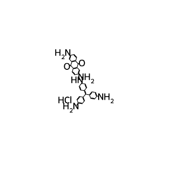 Cl.N=C1C=CC(=C(c2ccc(N)cc2)c2ccc(N)cc2)C=C1.Nc1ccc2c(c1)C(=O)c1ccc(N)cc1C2=O